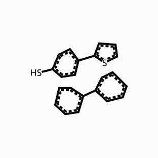 Sc1ccc(-c2cccs2)cc1.c1ccc(-c2ccccc2)cc1